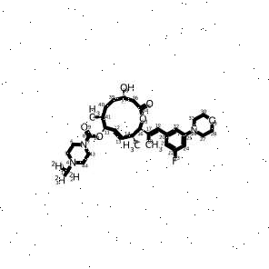 [2H]C([2H])([2H])N1CCN(C(=O)O[C@H]2/C=C/[C@@H](C)[C@H](/C(C)=C/c3cc(F)cc(N4CCOCC4)c3)OC(=O)C[C@@H](O)CC[C@@H]2C)CC1